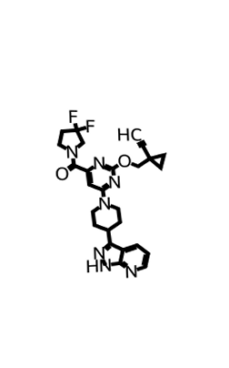 C#CC1(COc2nc(C(=O)N3CCC(F)(F)C3)cc(N3CCC(c4n[nH]c5ncccc45)CC3)n2)CC1